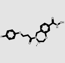 C[C@H]1COc2cc(C(=O)NO)ccc2CN1C(=O)CCOc1ccc(F)cc1